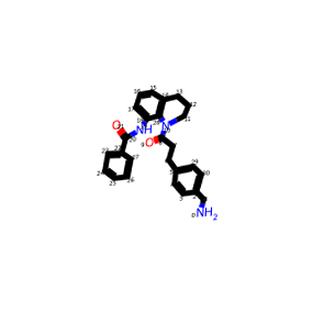 NCc1ccc(CCC(=O)N2CCCc3cccc(NC(=O)c4ccccc4)c32)cc1